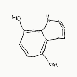 Oc1ccc(O)c2[nH]ncc12